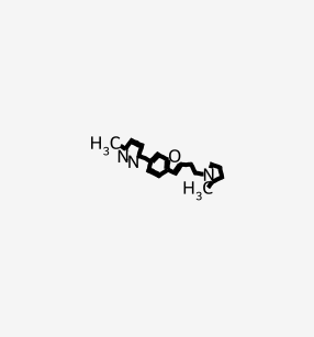 Cc1ccc(-c2ccc3cc(CCN4CCCC4C)oc3c2)nn1